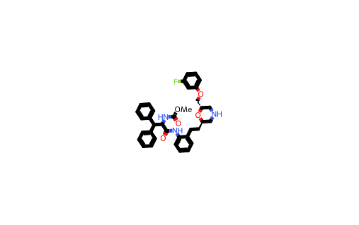 COC(=O)NC(C(=O)Nc1ccccc1CC[C@@H]1CNC[C@@H](COc2cccc(F)c2)O1)C(c1ccccc1)c1ccccc1